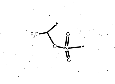 O=S(=O)(F)O[C](F)C(F)(F)F